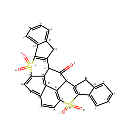 O=C1C2C3=C(c4ccccc4C3)S(=O)(=O)c3ccc4ccc5c(c4c32)C1C1=C(c2ccccc2C1)S5(=O)=O